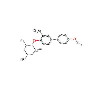 CCCC1CC(CC)C(Oc2ccc(-c3ccc(OC(F)(F)F)cc3)cc2[N+](=O)[O-])[C@@H](C)C1